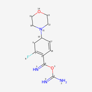 N=C(N)OC(=N)C1=C(F)CC(N2CCOCC2)C=C1